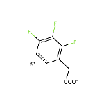 O=C([O-])Cc1ccc(F)c(F)c1F.[K+]